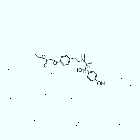 CCOC(=O)COc1ccc(CCN[C@@H](C)[C@@H](O)c2ccc(O)cc2)cc1